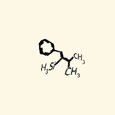 CC(C)C([SiH3])=Cc1ccccc1